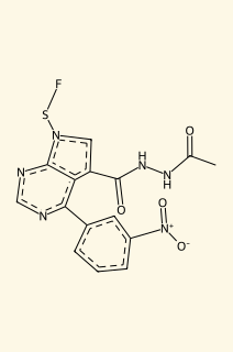 CC(=O)NNC(=O)c1cn(SF)c2ncnc(-c3cccc([N+](=O)[O-])c3)c12